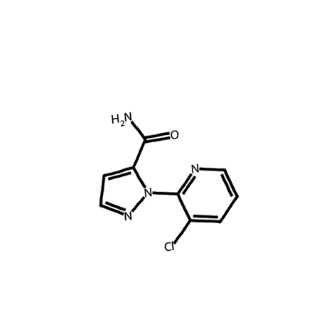 NC(=O)c1ccnn1-c1ncccc1Cl